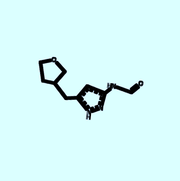 O=CNc1cc(CC2CCOC2)[nH]n1